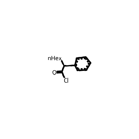 CCCCCCC(C(=O)Cl)c1ccccc1